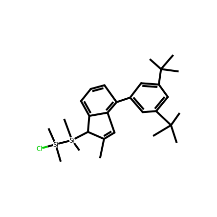 CC1=Cc2c(-c3cc(C(C)(C)C)cc(C(C)(C)C)c3)cccc2C1[Si](C)(C)[Si](C)(C)Cl